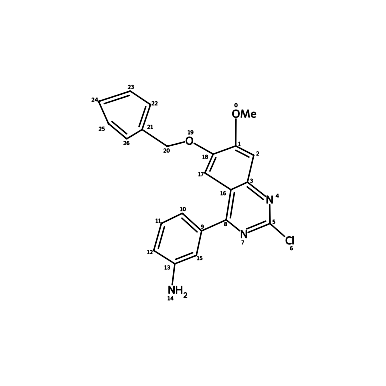 COc1cc2nc(Cl)nc(-c3cccc(N)c3)c2cc1OCc1ccccc1